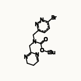 CC(C)(C)OC(=O)N(CC1=NCCC=N1)Cc1ccc(Br)nn1